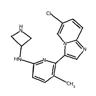 Cc1ccc(NC2CNC2)nc1-c1cnc2ccc(Cl)cn12